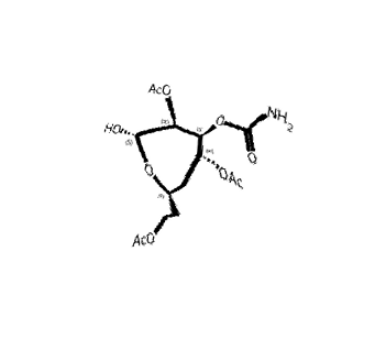 CC(=O)OC[C@H]1O[C@H](O)[C@@H](OC(C)=O)[C@@H](OC(N)=O)[C@@H]1OC(C)=O